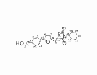 O=C(O)c1ccc(C2CC=C(/C=C3\SC(=S)N(C4CCCCC4)C3=O)O2)cc1